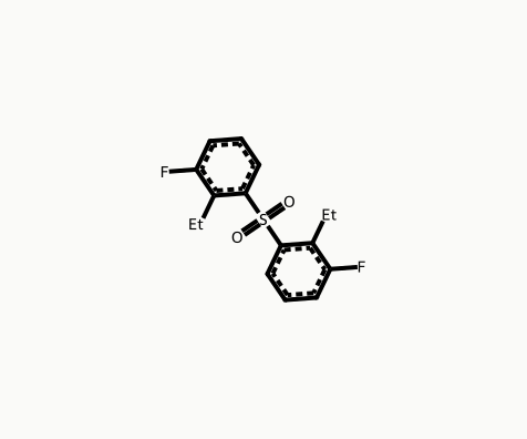 CCc1c(F)cccc1S(=O)(=O)c1cccc(F)c1CC